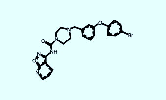 O=C(Nc1noc2ncccc12)N1CCN(Cc2cccc(Oc3ccc(Br)cc3)c2)CC1